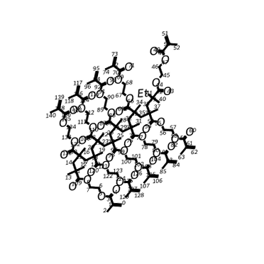 C=C(C)C(=O)OCCOC(=O)C(C)(C)CC(C)(CC(C)(CC(C)(CC(C)(CC(C)(CC(C)(CC(C)(CC(C)(CC(C)(CC)C(=O)OCCOC(=O)C(=C)C)C(=O)OCCOC(=O)C(=C)C)C(=O)OCCOC(=O)C(=C)C)C(=O)OCCOC(=O)C(=C)C)C(=O)OCCOC(=O)C(=C)C)C(=O)OCCOC(=O)C(=C)C)C(=O)OCCOC(=O)C(=C)C)C(=O)OCCOC(=O)C(=C)C)C(=O)OCCOC(=O)C(=C)C